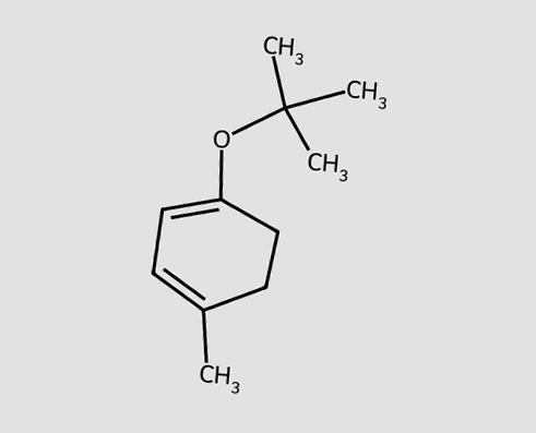 CC1=CC=C(OC(C)(C)C)CC1